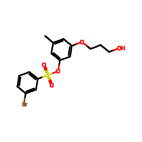 Cc1cc(OCCCO)cc(OS(=O)(=O)c2cccc(Br)c2)c1